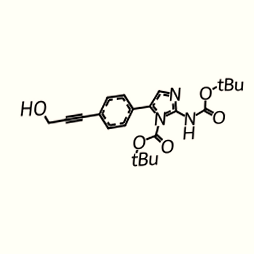 CC(C)(C)OC(=O)Nc1ncc(-c2ccc(C#CCO)cc2)n1C(=O)OC(C)(C)C